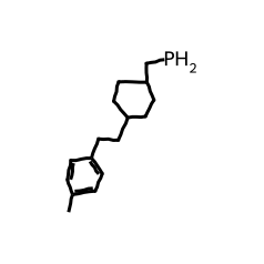 Cc1ccc(CCC2CCC(CP)CC2)cc1